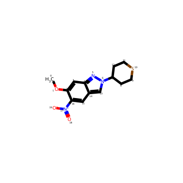 COc1cc2nn(C3CCSCC3)cc2cc1[N+](=O)[O-]